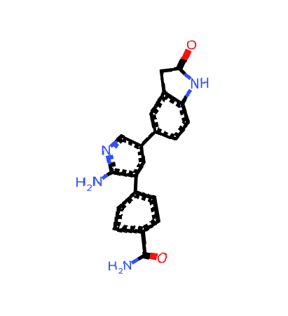 NC(=O)c1ccc(-c2cc(-c3ccc4c(c3)CC(=O)N4)cnc2N)cc1